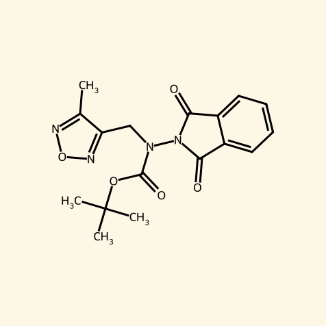 Cc1nonc1CN(C(=O)OC(C)(C)C)N1C(=O)c2ccccc2C1=O